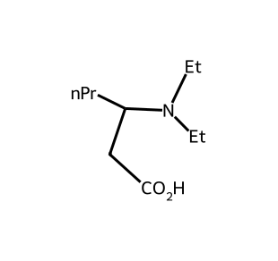 CCCC(CC(=O)O)N(CC)CC